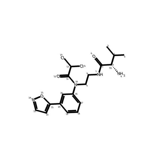 CC(C)[C@H](N)C(=O)NCCN(C(=O)C(Cl)Cl)c1cccc(-c2ccno2)c1